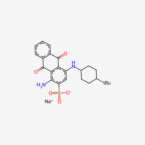 CC(C)(C)C1CCC(Nc2cc(S(=O)(=O)[O-])c(N)c3c2C(=O)c2ccccc2C3=O)CC1.[Na+]